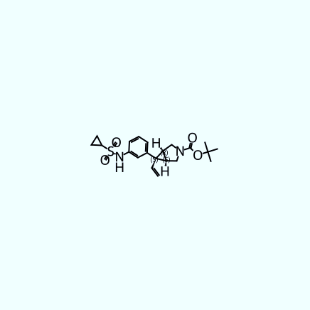 C=C[C@@]1(c2cccc(NS(=O)(=O)C3CC3)c2)[C@@H]2CN(C(=O)OC(C)(C)C)C[C@@H]21